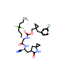 CCCC(F)(F)CCC[C@H](NC(=O)OCC1(Cc2cccc(Cl)c2)CC1)C(=O)N[C@H](C#N)CC1CC2(CC2)NC1=O